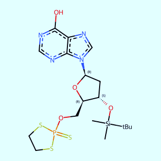 CC(C)(C)[Si](C)(C)O[C@H]1C[C@H](n2cnc3c(O)ncnc32)O[C@@H]1COP1(=S)SCCS1